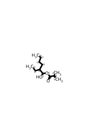 C=C(C)C(=O)OC(O)C(CC)CCCC